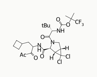 CC(=O)C(=O)C(CC1CCC1)NC(=O)[C@@H]1[C@@H]2[C@H](CN1C(=O)[C@@H](NC(=O)OC(C)(C)C(F)(F)F)C(C)(C)C)C2(Cl)Cl